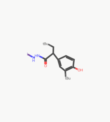 CC(C)(C)CC(C(=O)NNI)c1ccc(O)c(C(C)(C)C)c1